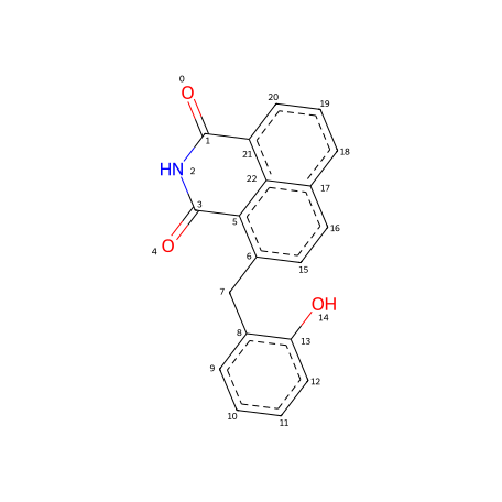 O=C1NC(=O)c2c(Cc3ccccc3O)ccc3cccc1c23